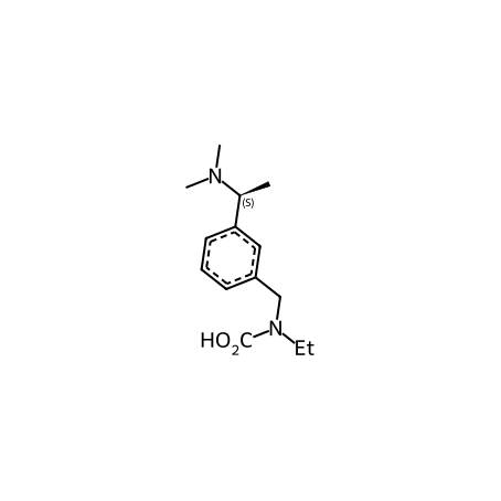 CCN(Cc1cccc([C@H](C)N(C)C)c1)C(=O)O